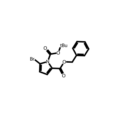 CC(C)(C)OC(=O)n1c(Br)ccc1C(=O)OCc1ccccc1